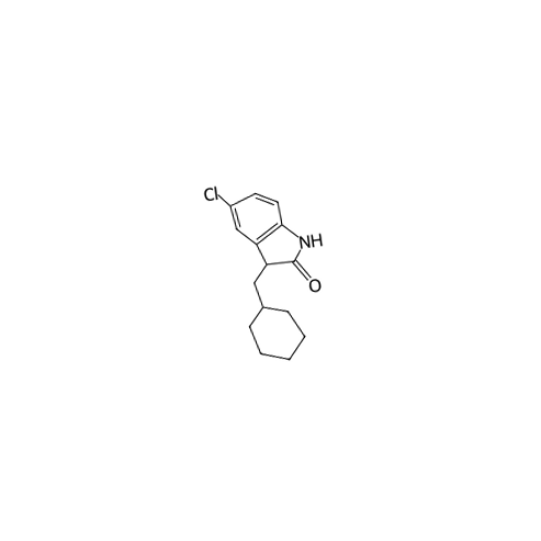 O=C1Nc2ccc(Cl)cc2C1CC1CCCCC1